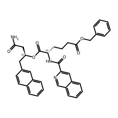 NC(=O)C[C@H](Cc1ccc2ccccc2c1)OC(=O)[C@H](CCCC(=O)OCc1ccccc1)NC(=O)c1cc2ccccc2cn1